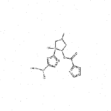 CCCCCC[S+]([O-])c1nnc([N+]2([O-])CN(C)CC2OC(=O)c2cccs2)s1